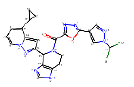 O=C(c1nnc(-c2cnn(C(F)F)c2)o1)N1CCc2[nH]cnc2C1c1cc2c(C3CC3)cccn2n1